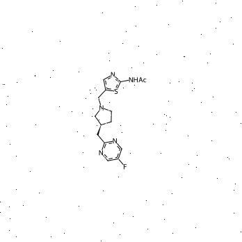 CC(=O)Nc1ncc(CN2CC[C@@H](Cc3ncc(F)cn3)C2)s1